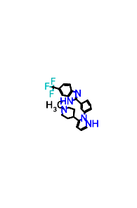 CN1CCC(C2=CC=CNN2c2cccc(-c3nc4ccc(C(F)(F)F)cc4[nH]3)c2)CC1